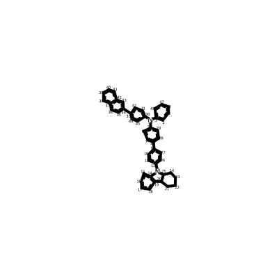 c1ccc(N(c2ccc(-c3ccc(N4c5ccccc5C5CCCCC54)cc3)cc2)c2ccc(-c3ccc4ccccc4c3)cc2)cc1